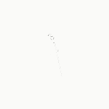 Br.CCCCCCCCCCCCCCCCNCCCCC(=O)Oc1ccc([N+](=O)[O-])cc1